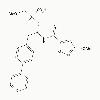 COC[C@](C)(C[C@@H](Cc1ccc(-c2ccccc2)cc1)NC(=O)c1cc(OC)no1)C(=O)O